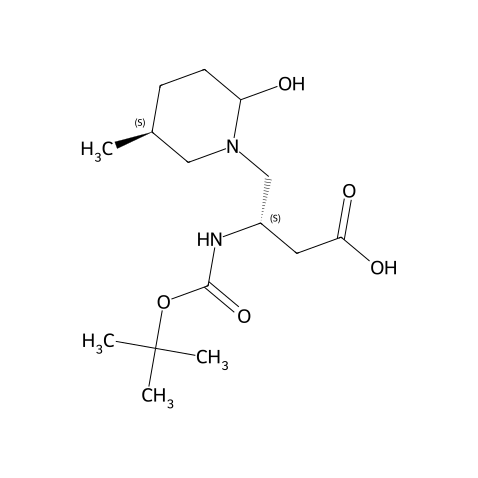 C[C@H]1CCC(O)N(C[C@H](CC(=O)O)NC(=O)OC(C)(C)C)C1